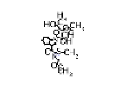 C=CS/C(=N\CC(=O)OC)C(=O)c1cn(C(OC(COC(C)=O)C(C)O)C(O)O)c2ccccc12